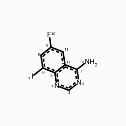 Nc1ncnc2c(I)cc(F)cc12